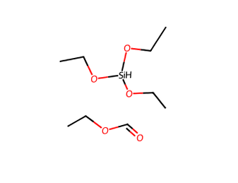 CCOC=O.CCO[SiH](OCC)OCC